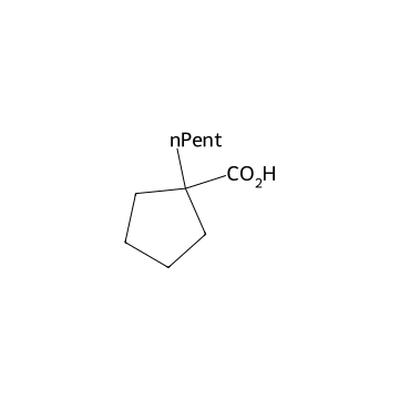 CCCCCC1(C(=O)O)CCCC1